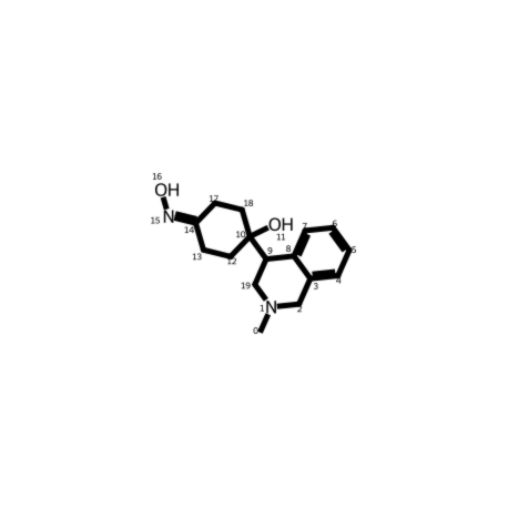 CN1Cc2ccccc2C(C2(O)CCC(=NO)CC2)C1